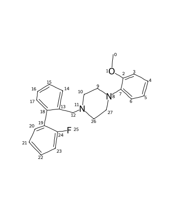 COc1ccccc1N1CCN(Cc2ccccc2-c2ccccc2F)CC1